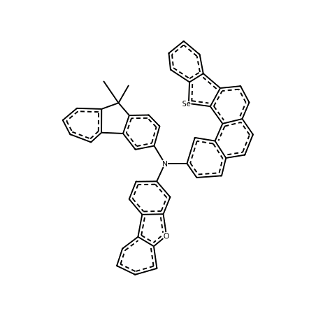 CC1(C)c2ccccc2-c2cc(N(c3ccc4c(c3)oc3ccccc34)c3ccc4ccc5ccc6c7ccccc7[se]c6c5c4c3)ccc21